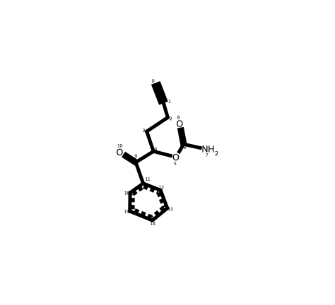 C#CCCC(OC(N)=O)C(=O)c1ccccc1